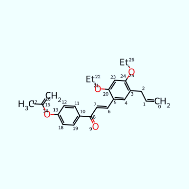 C=CCc1cc(/C=C/C(=O)c2ccc(OC(=C)C)cc2)c(OCC)cc1OCC